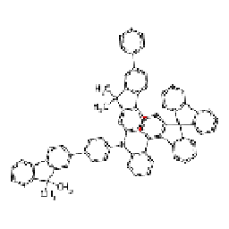 CC1(C)c2ccccc2-c2ccc(-c3ccc(N(c4ccc5c(c4)C(C)(C)c4cc(-c6ccccc6)ccc4-5)c4ccccc4-c4cccc5c4-c4ccccc4C54c5ccccc5-c5ccccc54)cc3)cc21